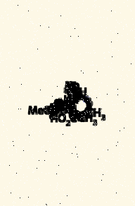 COc1cc2ccnc(O[C@@H]3C[C@H]4C(=O)N[C@]5(C(=O)NS(=O)(=O)C6(F)CC6)CC5/C=C\CC[C@H](C)C[C@@H](C)[C@H](NC(=O)O)C(=O)N4C3)c2cc1Cl